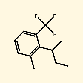 CCC(C)c1c(C)cccc1C(F)(F)F